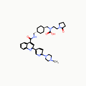 CN1CCN(c2ccc(-c3cc(C(=O)NC[C@H]4CC[C@H](CN(CCN5CCCC5=O)C(=O)O)CC4)c4ccccc4n3)cn2)CC1